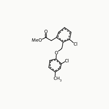 COC(=O)Cc1cccc(Cl)c1COc1ccc(C)cc1Cl